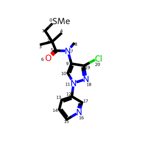 CSCC(C)(C)C(=O)N(C)c1cn(-c2cccnc2)nc1Cl